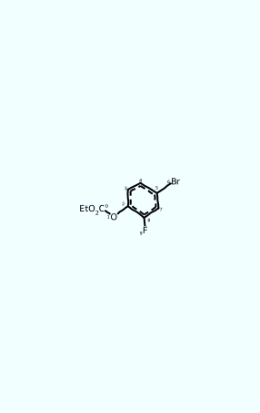 CCOC(=O)Oc1ccc(Br)cc1F